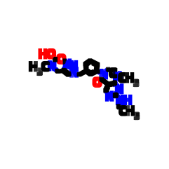 CCNc1ncc2c(n1)N(C)CCN(c1cccc(Cn3cc(CN(C)C(=O)O)nn3)c1)C2=O